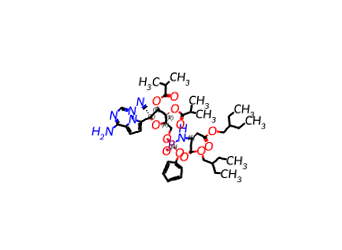 CCC(CC)COC(=O)C[C@H](N[P@@](=O)(OC[C@H]1O[C@@](C#N)(c2ccc3c(N)ncnn23)[C@H](OC(=O)C(C)C)[C@@H]1OC(=O)C(C)C)Oc1ccccc1)C(=O)OCC(CC)CC